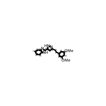 COc1cc(CCc2cc(-c3nc4ccccc4[nH]3)[nH]n2)cc(OC)c1